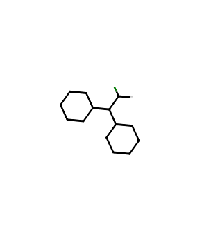 CC(F)C(C1CCCCC1)C1CCCCC1